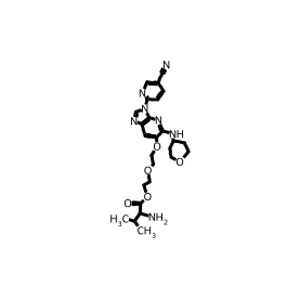 CC(C)C(N)C(=O)OCCOCCOc1cc2ncn(-c3ccc(C#N)cn3)c2nc1NC1CCOCC1